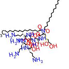 CCCCCCCCCCCCCCCC(=O)N(C(=O)CCCCCCCCCCCCCCC)[C@@H](CSCC(O)CO)C(=O)N[C@@H](CO)C(=O)N[C@@H](CCCCN)C(=O)N[C@@H](CCCCN)C(=O)N[C@@H](CCCCN)C(=O)N[C@@H](CCCCN)C(=O)O